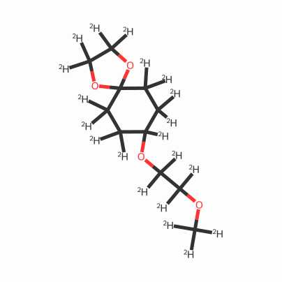 [2H]C([2H])([2H])OC([2H])([2H])C([2H])([2H])OC1([2H])C([2H])([2H])C([2H])([2H])C2(OC([2H])([2H])C([2H])([2H])O2)C([2H])([2H])C1([2H])[2H]